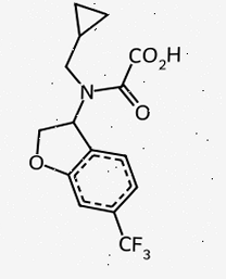 O=C(O)C(=O)N(CC1CC1)C1COc2cc(C(F)(F)F)ccc21